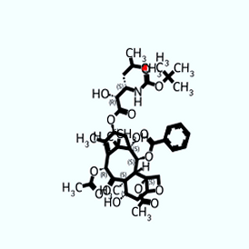 CC(=O)O[C@H]1C(=O)[C@]2(C)[C@@H](O)CC3OC[C@@]3(OC(C)=O)[C@H]2[C@H](OC(=O)c2ccccc2)[C@]2(O)C[C@H](OC(=O)[C@H](O)[C@H](CC(C)C)NC(=O)OC(C)(C)C)C(C)=C1C2(C)C